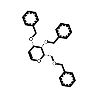 C1=C[C@H](OCc2ccccc2)[C@H](OCc2ccccc2)[C@H](COCc2ccccc2)O1